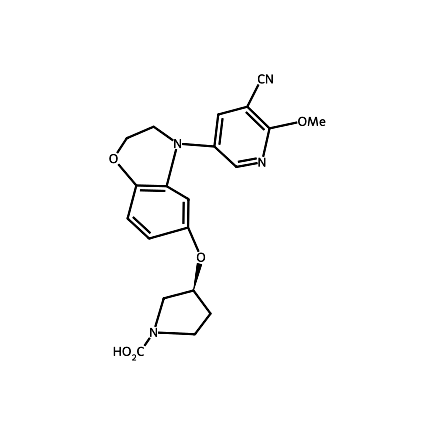 COc1ncc(N2CCOc3ccc(O[C@H]4CCN(C(=O)O)C4)cc32)cc1C#N